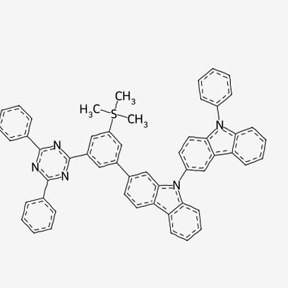 CS(C)(C)c1cc(-c2ccc3c4ccccc4n(-c4ccc5c(c4)c4ccccc4n5-c4ccccc4)c3c2)cc(-c2nc(-c3ccccc3)nc(-c3ccccc3)n2)c1